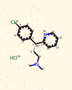 CN(C)CC[C@H](c1ccc(Cl)cc1)c1ccccn1.Cl